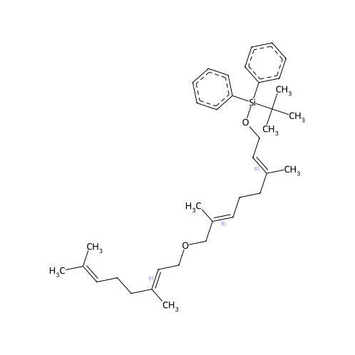 CC(C)=CCC/C(C)=C/COC/C(C)=C/CC/C(C)=C/CO[Si](c1ccccc1)(c1ccccc1)C(C)(C)C